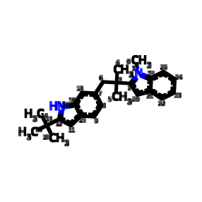 Cn1c(C(C)(C)Cc2ccc3cc(C(C)(C)C)[nH]c3c2)cc2ccccc21